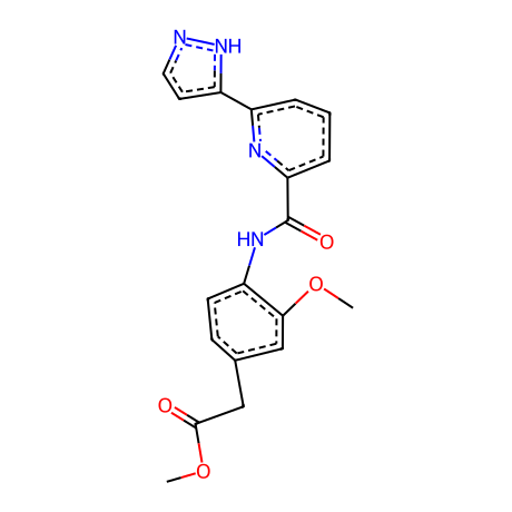 COC(=O)Cc1ccc(NC(=O)c2cccc(-c3ccn[nH]3)n2)c(OC)c1